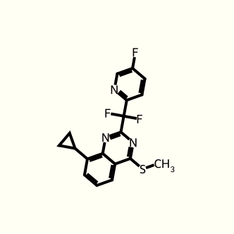 CSc1nc(C(F)(F)c2ccc(F)cn2)nc2c(C3CC3)cccc12